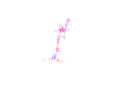 CCOCC(=O)NC(Cc1ccc(O)c(O)c1)C(=O)NCCCC[C@@H](NC(=O)COCCOCCNC(=O)COCCOCCNC(=O)[C@@H](CO)NC(=O)[C@@H](CC(=O)O)NC(=O)[C@H](CCCCNC(=O)CCN1C(=O)C=CC1=O)NC(=O)CCCc1c[nH]c2ccccc12)C(N)=O